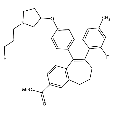 COC(=O)c1ccc2c(c1)CCCC(c1ccc(C)cc1F)=C2c1ccc(OC2CCN(CCCF)C2)cc1